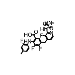 CNS(=O)(=O)Nc1nccc(Cc2cc(C(=O)O)c(Nc3ccc(C)cc3F)c(F)c2F)c1F